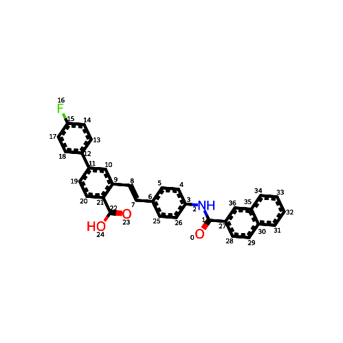 O=C(Nc1ccc(/C=C/c2cc(-c3ccc(F)cc3)ccc2C(=O)O)cc1)c1ccc2ccccc2c1